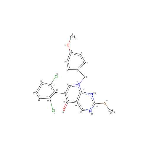 COc1ccc(Cn2cc(-c3c(Cl)cccc3Cl)c(=O)c3cnc(SC)nc32)cc1